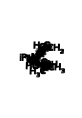 Cc1cc(C)c(CNC(O)c2cc(C3=CCN(C(=O)CN(C)C)CC3)nc3c2cnn3C(C)C)c(=O)[nH]1